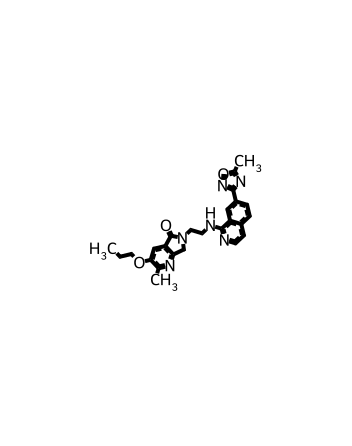 CCCOc1cc2c(nc1C)CN(CCNc1nccc3ccc(-c4noc(C)n4)cc13)C2=O